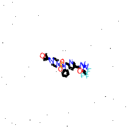 O=S(=O)(N1CCN(C2COC2)CC1)N(Cc1ccc(-c2nnc(C(F)(F)F)o2)cn1)c1ccccc1